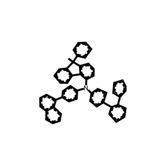 CC1(c2ccccc2)c2ccccc2-c2c(N(c3ccc(-c4ccccc4-c4ccccc4)cc3)c3ccc(-c4cccc5ccccc45)cc3)cccc21